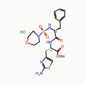 COC(=O)[C@H](Cc1csc(N)n1)NC(=O)[C@H](Cc1ccccc1)NS(=O)(=O)N1CCOCC1.Cl